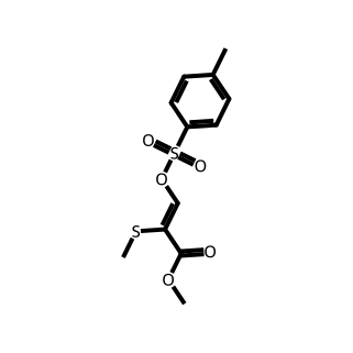 COC(=O)/C(=C/OS(=O)(=O)c1ccc(C)cc1)SC